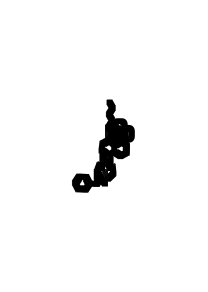 CCCCCN1c2ccc(N3CCCN(Cc4ccccc4)CC3)c3cccc(c23)S1(=O)=O